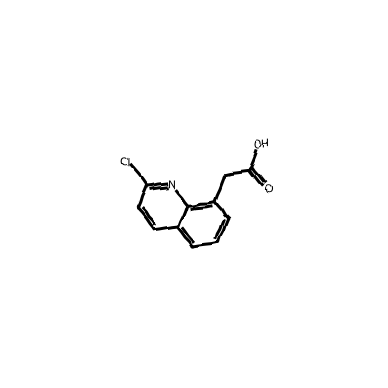 O=C(O)Cc1cccc2ccc(Cl)nc12